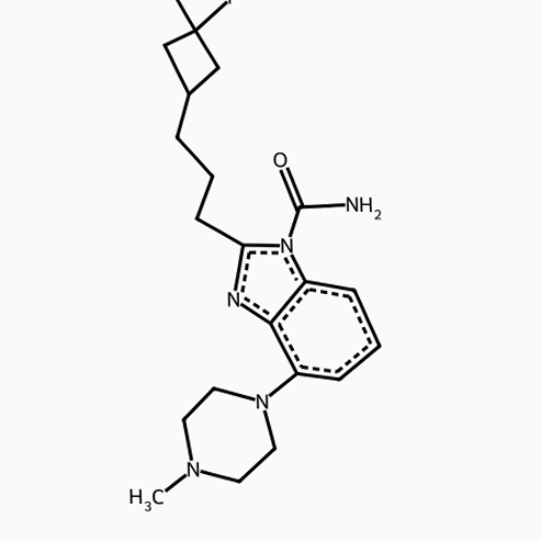 CN1CCN(c2cccc3c2nc(CCCC2CC(F)(F)C2)n3C(N)=O)CC1